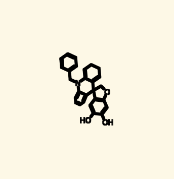 Oc1cc2c(cc1O)C1(CO2)C2=CCCC=C2N(Cc2ccccc2)c2ccccc21